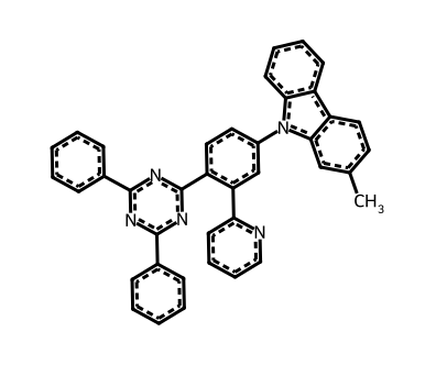 Cc1ccc2c3ccccc3n(-c3ccc(-c4nc(-c5ccccc5)nc(-c5ccccc5)n4)c(-c4ccccn4)c3)c2c1